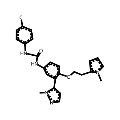 Cn1cccc1CCOc1ccc(NC(=O)Nc2ccc(Cl)cc2)cc1-c1ccnn1C